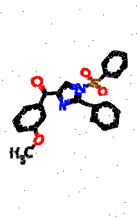 COc1cccc(C(=O)c2cn(S(=O)(=O)c3ccccc3)c(-c3ccccc3)n2)c1